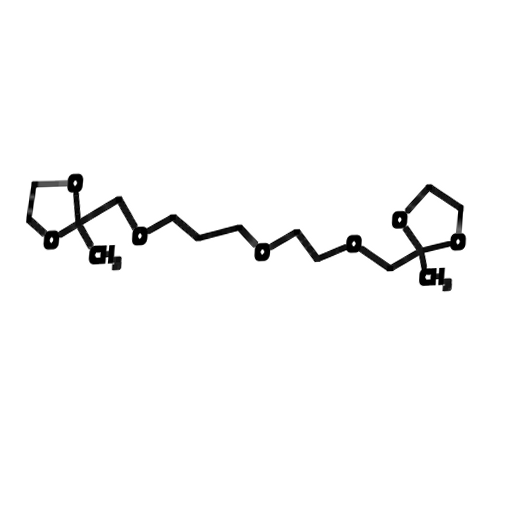 CC1(COCCCOCCOCC2(C)OCCO2)OCCO1